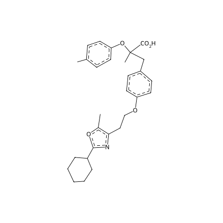 Cc1ccc(OC(C)(Cc2ccc(OCCc3nc(C4CCCCC4)oc3C)cc2)C(=O)O)cc1